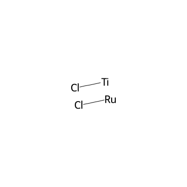 [Cl][Ru].[Cl][Ti]